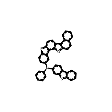 c1ccc(N(c2ccc3c(c2)sc2ccccc23)c2ccc3sc4ccc5c(oc6ccc7ccccc7c65)c4c3c2)cc1